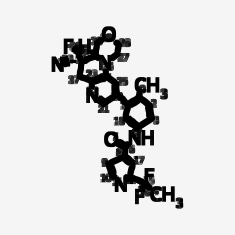 Cc1ccc(NC(=O)c2ccnc(C(C)(F)F)c2)cc1-c1cnc2c(c1)N1CCOC[C@H]1[C@](C#N)(CF)C2